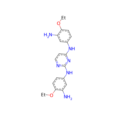 CCOc1ccc(Nc2ccnc(Nc3ccc(OCC)c(N)c3)n2)cc1N